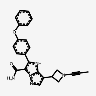 CC#CN1CC(c2cnn3c(C(N)=O)c(-c4ccc(Oc5ccccc5)cc4)[nH]c23)C1